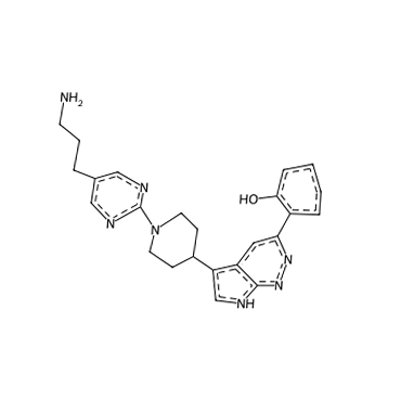 NCCCc1cnc(N2CCC(c3c[nH]c4nnc(-c5ccccc5O)cc34)CC2)nc1